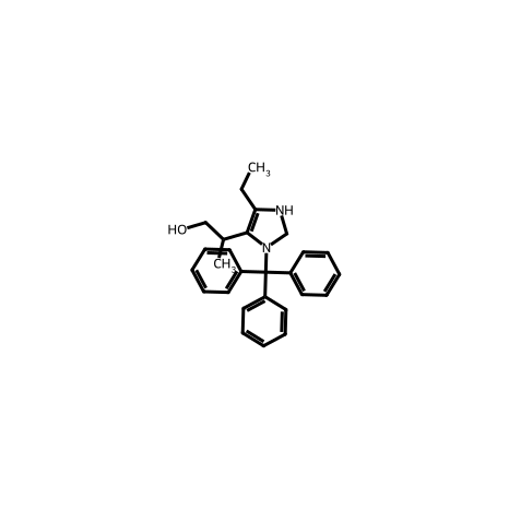 CCC1=C(C(C)CO)N(C(c2ccccc2)(c2ccccc2)c2ccccc2)CN1